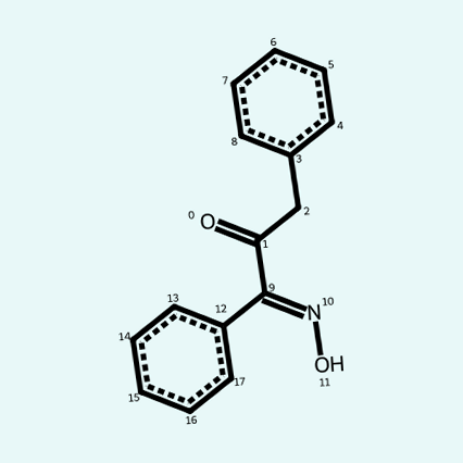 O=C(Cc1ccccc1)C(=NO)c1ccccc1